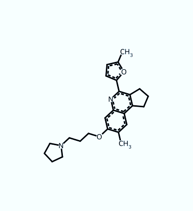 Cc1ccc(-c2nc3cc(OCCCN4CCCC4)c(C)cc3c3c2CCC3)o1